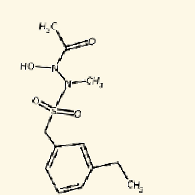 CCc1cccc(CS(=O)(=O)N(C)N(O)C(C)=O)c1